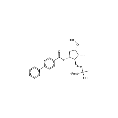 CCCCCC(C)(O)/C=C/[C@@H]1[C@@H](C)[C@@H](OC=O)C[C@H]1OC(=O)c1ccc(-c2ccccc2)cc1